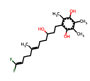 C/C(=C\CCC(O)CCc1c(C)c(O)c(C)c(C)c1O)CCC=C(F)F